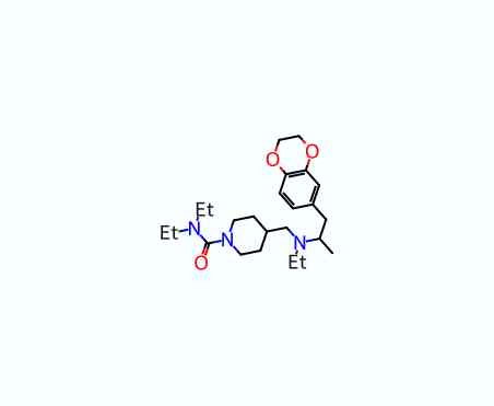 CCN(CC)C(=O)N1CCC(CN(CC)C(C)Cc2ccc3c(c2)OCCO3)CC1